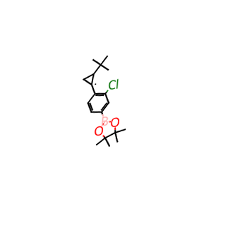 CC(C)(C)C1C[C]1c1ccc(B2OC(C)(C)C(C)(C)O2)cc1Cl